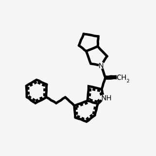 C=C(c1cc2c(CCc3ccccc3)cccc2[nH]1)N1CC2CCCC2C1